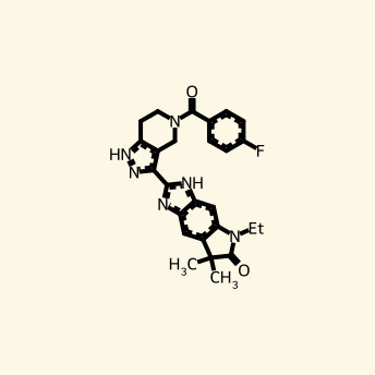 CCN1C(=O)C(C)(C)c2cc3nc(-c4n[nH]c5c4CN(C(=O)c4ccc(F)cc4)CC5)[nH]c3cc21